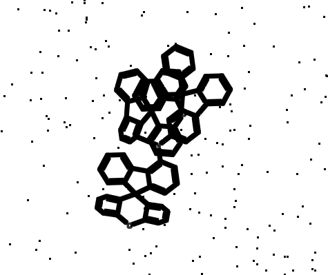 c1ccc(C2(c3ccccc3)c3ccccc3-c3ccc(N(c4cccc5c4-c4ccccc4C54c5ccccc5Oc5ccccc54)c4cccc5c4C4(c6ccccc6Oc6ccccc64)c4ccccc4-5)cc32)cc1